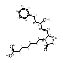 O=C(O)CCCCCCN1C(=O)CSC1C=CC(O)CCc1ccccc1